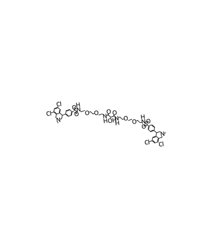 CN1Cc2c(Cl)cc(Cl)cc2C(c2ccc(S(=O)(=O)NCCOCCOCCNC(=O)C(O)C(=O)NCCOCCOCCNS(=O)(=O)c3ccc(C4CN(C)Cc5c(Cl)cc(Cl)cc54)cc3)cc2)C1